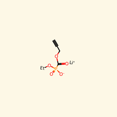 C#CCOC(=O)P(=O)([O-])OCC.[Li+]